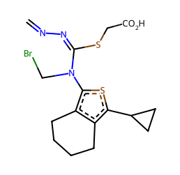 C=N/N=C(/SCC(=O)O)N(CBr)c1sc(C2CC2)c2c1CCCC2